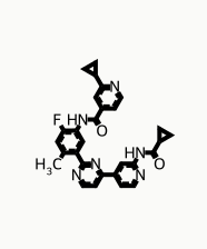 Cc1cc(F)c(NC(=O)c2ccnc(C3CC3)c2)cc1-c1nccc(-c2ccnc(NC(=O)C3CC3)c2)n1